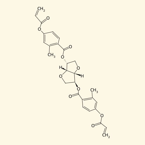 C=CC(=O)Oc1ccc(C(=O)O[C@H]2CO[C@H]3[C@@H]2OC[C@H]3OC(=O)c2ccc(OC(=O)C=C)cc2C)c(C)c1